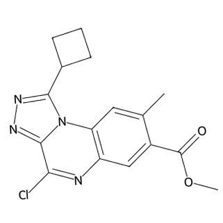 COC(=O)c1cc2nc(Cl)c3nnc(C4CCC4)n3c2cc1C